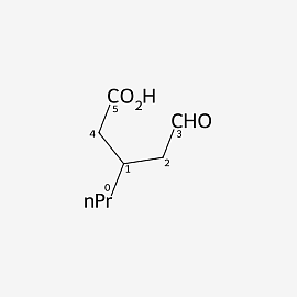 CCCC(CC=O)CC(=O)O